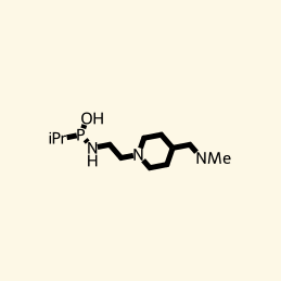 CNCC1CCN(CCNP(O)C(C)C)CC1